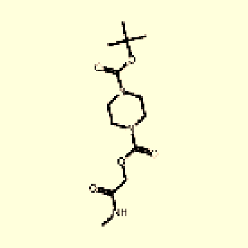 CNC(=O)COC(=O)N1CCN(C(=O)OC(C)(C)C)CC1